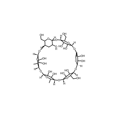 CC1O[C@@H]2O[C@H]3CC(O)[C@H](OC3CO)O[C@@H]3C(CO)O[C@H](OC4=CO[C@H](O[C@@H]5C(CO)O[C@H](O[C@@H]6C(C)O[C@H](O[C@H]1C(O)C2O)C(O)C6O)C(O)C5O)C(O)C4O)C(O)C3O